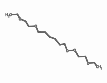 [CH2]COCCOCCCCCCOOCCOCC